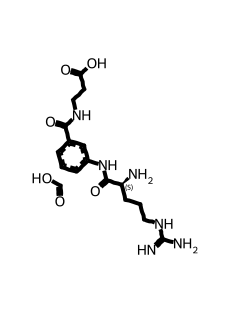 N=C(N)NCCC[C@H](N)C(=O)Nc1cccc(C(=O)NCCC(=O)O)c1.O=CO